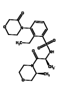 [CH2][C@H](NS(=O)(=O)c1cccc(N2CCOCC2=O)c1CC)C(=O)N1CCOC[C@@H]1C